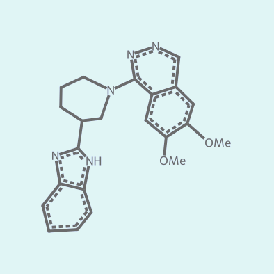 COc1cc2cnnc(N3CCCC(c4nc5ccccc5[nH]4)C3)c2cc1OC